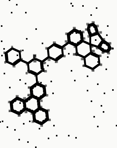 C1=CCCC(C2N=C(c3ccc4c5ccccc5c5ccccc5c4c3)N=C(C3C=CC(c4cccc5c4OC4CCCC=C4C54c5ccccc5-c5ccccc54)=CC3)N2)=C1